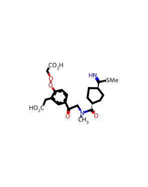 CSC(=N)[C@H]1CC[C@H](C(=O)N(C)CC(=O)c2ccc(OOCC(=O)O)c(CC(=O)O)c2)CC1